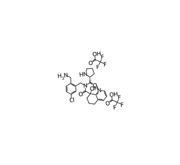 NCc1ccc(Cl)cc1CN(C(=O)[C@@H]1CCCN1)C(=O)C1(O)CCCc2cccnc21.O=C(O)C(F)(F)F.O=C(O)C(F)(F)F